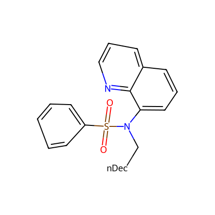 CCCCCCCCCCCN(c1cccc2cccnc12)S(=O)(=O)c1ccccc1